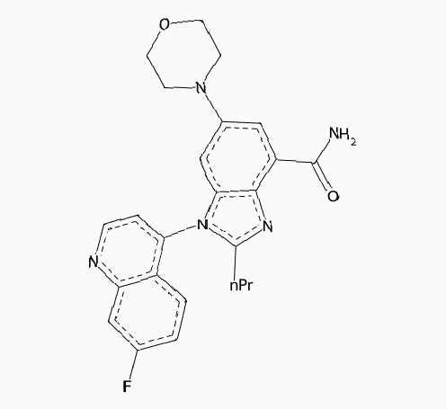 CCCc1nc2c(C(N)=O)cc(N3CCOCC3)cc2n1-c1ccnc2cc(F)ccc12